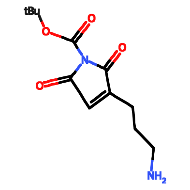 CC(C)(C)OC(=O)N1C(=O)C=C(CCCN)C1=O